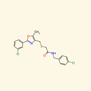 Cc1oc(-c2cccc(Cl)c2)nc1CSCC(=O)NCc1ccc(Cl)cc1